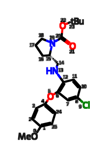 COc1ccc(Oc2cc(Cl)ccc2NC[C@@H]2CCCN2C(=O)OC(C)(C)C)cc1